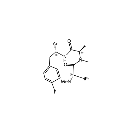 CN[C@H](C(=O)N(C)[C@H](C)C(=O)N[C@H](Cc1ccc(F)cc1)C(C)=O)C(C)C